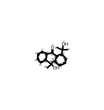 CC(C)(O)c1ccccc1C(=O)c1ccccc1C(C)(C)O